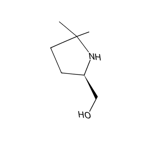 CC1(C)CC[C@H](CO)N1